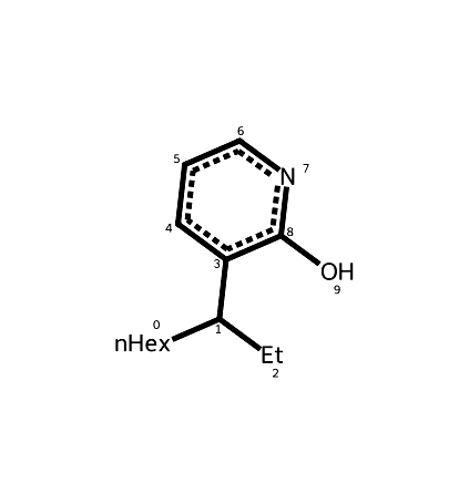 CCCCCCC(CC)c1cccnc1O